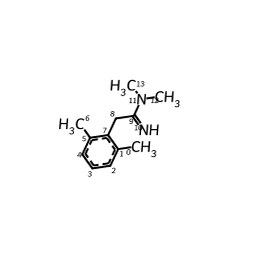 Cc1cccc(C)c1CC(=N)N(C)C